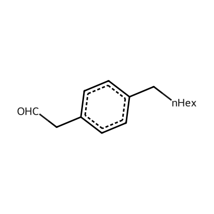 CCCCCCCc1ccc(CC=O)cc1